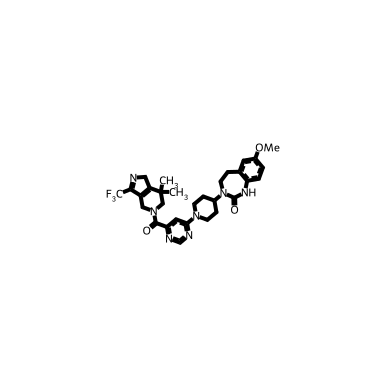 COc1ccc2c(c1)CCN(C1CCN(c3cc(C(=O)N4CC5=C(CN=C5C(F)(F)F)C(C)(C)C4)ncn3)CC1)C(=O)N2